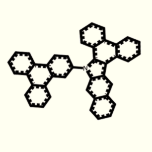 c1ccc2cc3c(cc2c1)c1c2ccccc2c2ccccc2c1n3-c1ccc2c3ccccc3c3ccccc3c2c1